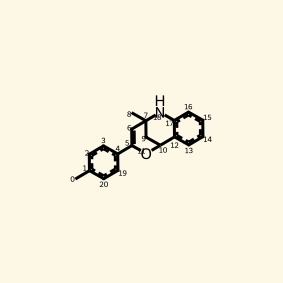 Cc1ccc(C2=CC3(C)CC(O2)c2ccccc2N3)cc1